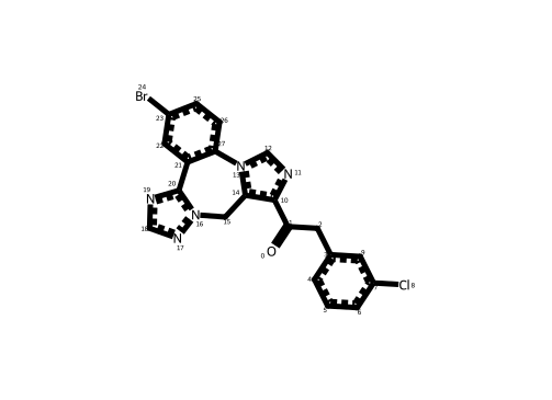 O=C(Cc1cccc(Cl)c1)c1ncn2c1Cn1ncnc1-c1cc(Br)ccc1-2